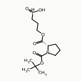 CC(C)(C)OC(=O)N1CCC[C@H]1C(=O)OCCC[PH](=O)O